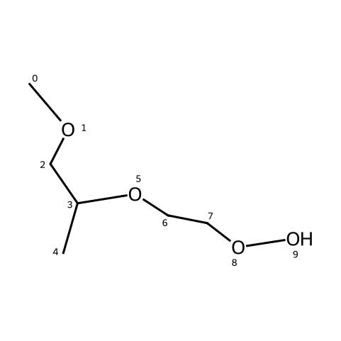 COCC(C)OCCOO